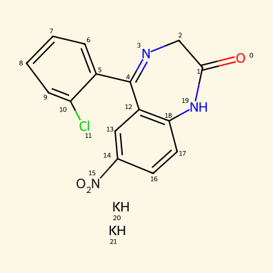 O=C1CN=C(c2ccccc2Cl)c2cc([N+](=O)[O-])ccc2N1.[KH].[KH]